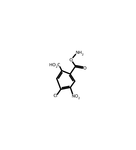 NOC(=O)c1cc([N+](=O)[O-])c(Cl)cc1C(=O)O